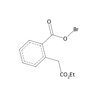 CCOC(=O)Cc1ccccc1C(=O)OBr